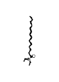 CCCCCCCCCCCCCC(=O)N(CC)CC